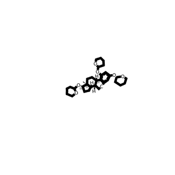 C[C@]12CC[C@@H]3c4c(cc(OC5CCCCO5)cc4OC4CCCCO4)CC[C@@H]3[C@@H]1CC[C@@H]2OC1CCCCO1